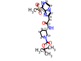 CC(C)(C)OC(=O)N1CCC[C@H](NC(=O)Cc2cn3ccnc(S(C)(=O)=O)c3n2)C1